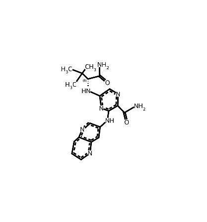 CC(C)(C)[C@@H](Nc1cnc(C(N)=O)c(Nc2cnc3cccnc3c2)n1)C(N)=O